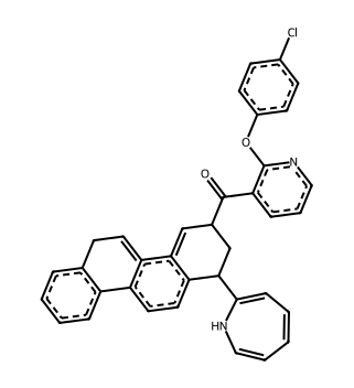 O=C(c1cccnc1Oc1ccc(Cl)cc1)C1C=c2c(ccc3c2=CCc2ccccc2-3)C(C2=CC=CC=CN2)C1